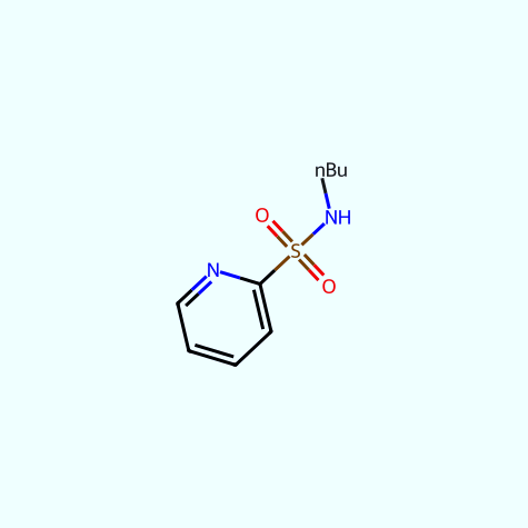 CCCCNS(=O)(=O)c1ccccn1